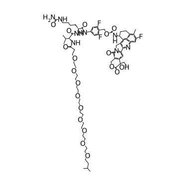 CC[C@@]1(O)C(=O)OCc2c1cc1n(c2=O)Cc2c-1nc1cc(F)c(C)c3c1c2[C@@H](NC(=O)OCc1c(F)cc(NC(=O)[C@H](CCCCNC(N)=O)NC(=O)[C@@H](NC(=O)CCOCCOCCOCCOCCOCCOCCOCCOCCOCCC(C)C)C(C)C)cc1F)CC3